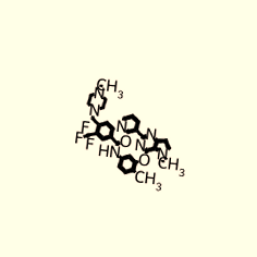 Cc1ccc(NC(=O)c2ccc(CN3CCN(C)CC3)c(C(F)(F)F)c2)cc1Oc1nc(-c2cccnc2)nc2ccn(C)c12